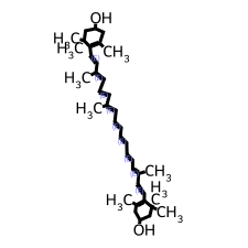 CC1=C(/C=C/C(C)=C/C=C/C=C/C=C/C=C(C)/C=C/C=C(C)/C=C/C2=C(C)CC(O)CC2(C)C)C(C)(C)CC(O)C1